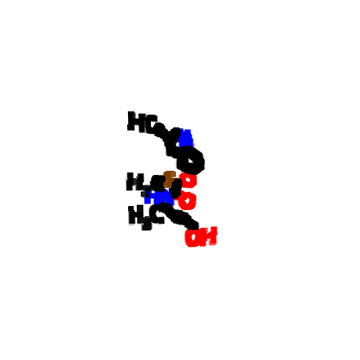 C#Cc1cnc2ccc(OC(SC)C(=O)NC(C)C#CCO)cc2c1